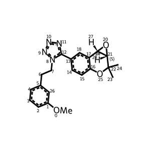 COc1cccc(CCn2nnnc2-c2ccc3c(c2)[C@@H]2O[C@@H]2C(C)(C)O3)c1